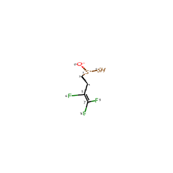 [O-][S+](S)CCC(F)=C(F)F